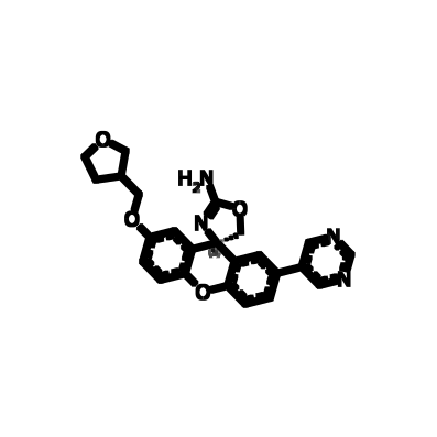 NC1=N[C@]2(CO1)c1cc(OCC3CCOC3)ccc1Oc1ccc(-c3cncnc3)cc12